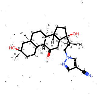 C[C@@H](Cn1cc(C#N)cn1)[C@@]1(O)CC[C@H]2[C@@H]3CC[C@@H]4C[C@](C)(O)CC[C@@H]4[C@H]3C(=O)C[C@@]21C